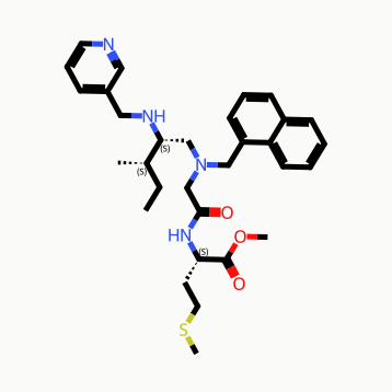 CC[C@H](C)[C@@H](CN(CC(=O)N[C@@H](CCSC)C(=O)OC)Cc1cccc2ccccc12)NCc1cccnc1